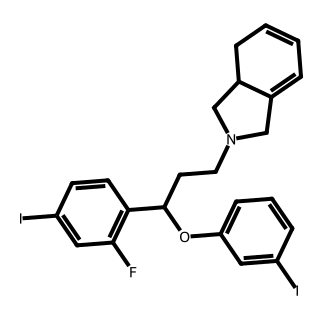 Fc1cc(I)ccc1C(CCN1CC2=CC=CCC2C1)Oc1cccc(I)c1